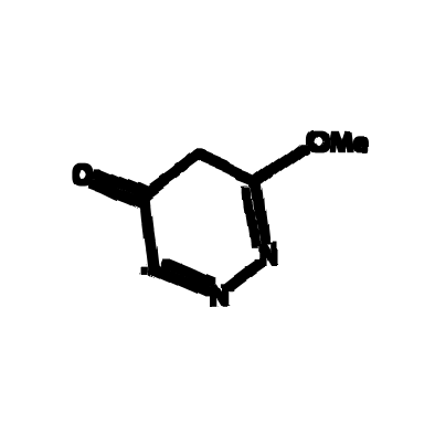 COC1=NN=[C]C(=O)C1